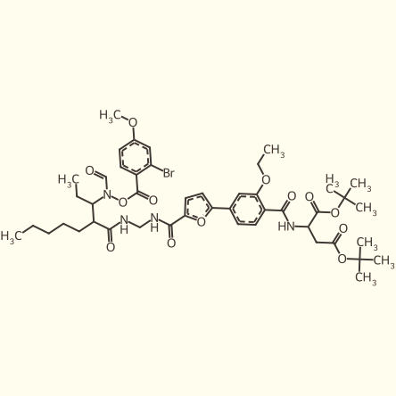 CCCCCC(C(=O)NCNC(=O)c1ccc(-c2ccc(C(=O)NC(CC(=O)OC(C)(C)C)C(=O)OC(C)(C)C)c(OCC)c2)o1)C(CC)N(C=O)OC(=O)c1ccc(OC)cc1Br